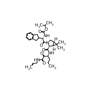 C=CCNC(=O)C(=O)C(CCC)NC(=O)[C@@H]1[C@H]2[C@@H](CN1C(=O)[C@@H](NC(=O)OC(C)C)C1Cc3ccccc3C1)C2(C)C